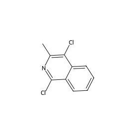 Cc1nc(Cl)c2ccccc2c1Cl